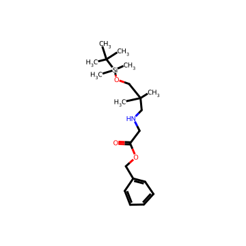 CC(C)(CNCC(=O)OCc1ccccc1)CO[Si](C)(C)C(C)(C)C